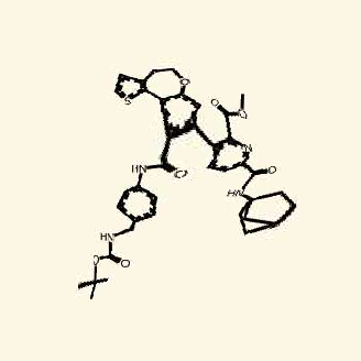 COC(=O)c1nc(C(=O)NC23CCC(CC2)C3)ccc1-c1cc2c(cc1C(=O)Nc1ccc(CNC(=O)OC(C)(C)C)cc1)-c1sccc1CCO2